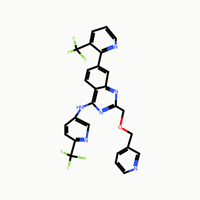 FC(F)(F)c1ccc(Nc2nc(COCc3cccnc3)nc3cc(-c4ncccc4C(F)(F)F)ccc23)cn1